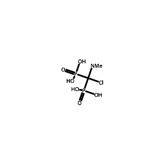 CNC(Cl)(P(=O)(O)O)P(=O)(O)O